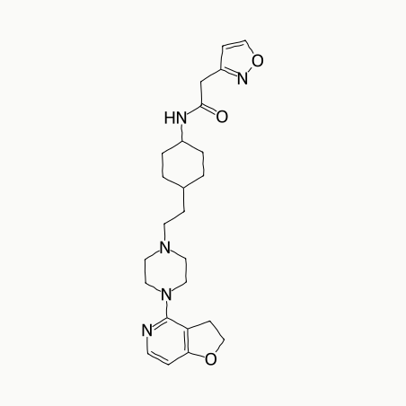 O=C(Cc1ccon1)NC1CCC(CCN2CCN(c3nccc4c3CCO4)CC2)CC1